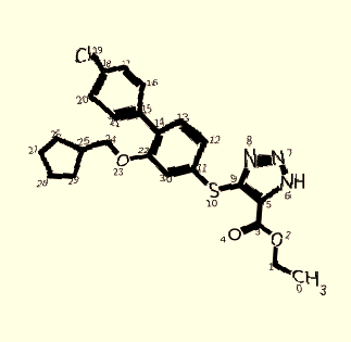 CCOC(=O)c1[nH]nnc1Sc1ccc(-c2ccc(Cl)cc2)c(OCC2CCCC2)c1